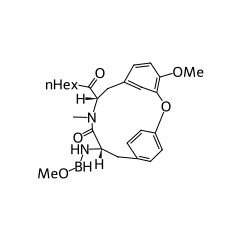 CCCCCCC(=O)[C@@H]1Cc2ccc(OC)c(c2)Oc2ccc(cc2)C[C@H](NBOC)C(=O)N1C